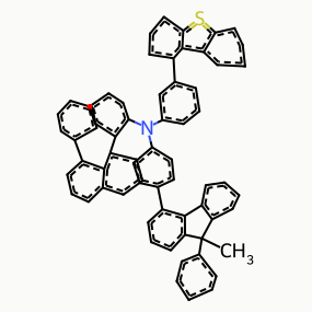 CC1(c2ccccc2)c2ccccc2-c2c(-c3ccc(N(c4cccc(-c5cccc6sc7ccccc7c56)c4)c4ccccc4-c4cccc5cccc(-c6ccccc6)c45)cc3)cccc21